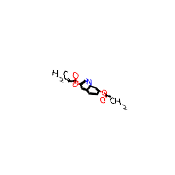 C=CC(=O)Oc1cnc2cc(OC(=O)C=C)ccc2c1